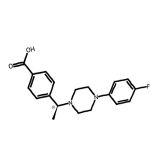 C[C@@H](c1ccc(C(=O)O)cc1)N1CCN(c2ccc(F)cc2)CC1